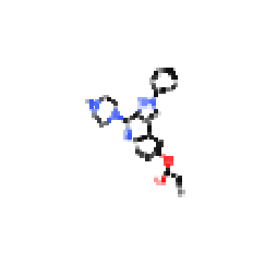 C=CC(=O)Oc1ccc2nc(N3CCN(C)CC3)c3nn(-c4ccccc4)cc3c2c1